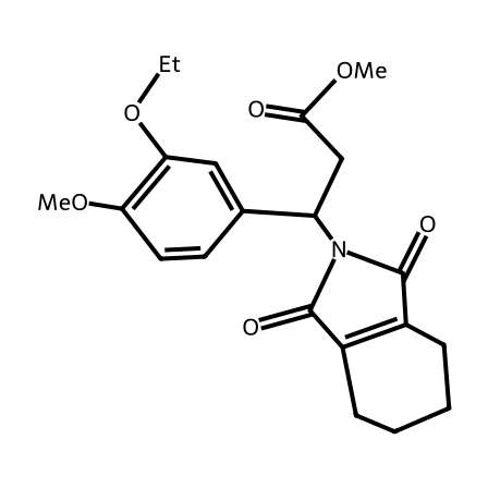 CCOc1cc(C(CC(=O)OC)N2C(=O)C3=C(CCCC3)C2=O)ccc1OC